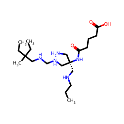 CCCNC[C@@](CN)(CNCNCC(C)(CC)CC)NC(=O)CCCC(=O)O